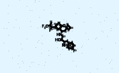 CC(=O)N[C@@H](Cc1ccc(F)cc1)[C@@H](O)CN[C@H]1CC2(CCC2)Oc2ncc(C(F)C(C)C(F)(F)F)cc21